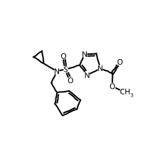 COC(=O)n1cnc(S(=O)(=O)N(Cc2ccccc2)C2CC2)n1